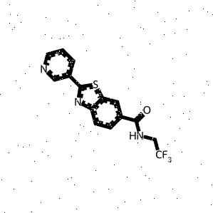 O=C(NCC(F)(F)F)c1ccc2nc(-c3cccnc3)sc2c1